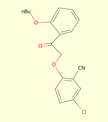 CCCCOc1ccccc1C(=O)COc1ccc(Cl)cc1C#N